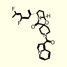 C=C(/C=C(F)\C=C(/C)F)[C@@H]1CC[C@H]2OC3(CCN(C(=O)c4ccn5ccccc45)CC3)C(=O)N21